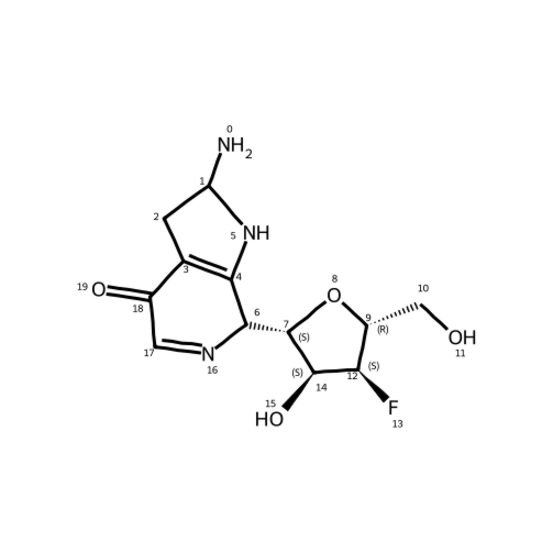 NC1CC2=C(N1)C([C@@H]1O[C@H](CO)[C@@H](F)[C@H]1O)N=CC2=O